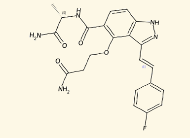 C[C@H](NC(=O)c1ccc2[nH]nc(/C=C/c3ccc(F)cc3)c2c1OCCC(N)=O)C(N)=O